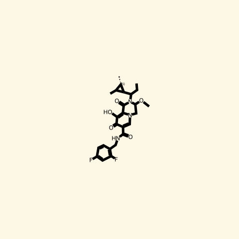 CCC(C1C(C)[C@@H]1C)N1C(=O)c2c(O)c(=O)c(C(=O)NCc3ccc(F)cc3F)cn2CC1OC